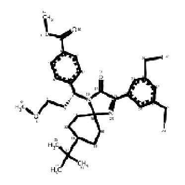 COCC[C@H](c1ccc(C(=O)OC)cc1)N1C(=O)C(c2cc(CI)cc(CI)c2)=NC12CCC(C(C)(C)C)CC2